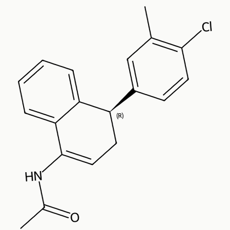 CC(=O)NC1=CC[C@H](c2ccc(Cl)c(C)c2)c2ccccc21